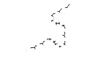 OCC(O)COCC(O)COCC(F)(F)OC(F)(F)OC(F)(F)C(F)(F)OC(F)(F)COCC(O)COCC(F)(F)OC(F)(F)OC(F)(F)C(F)(F)OC(F)(F)COCC(O)COCC(O)CO